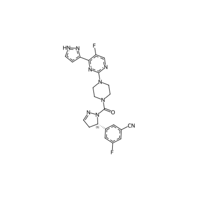 N#Cc1cc(F)cc([C@@H]2CC=NN2C(=O)N2CCN(c3ncc(F)c(-c4cc[nH]n4)n3)CC2)c1